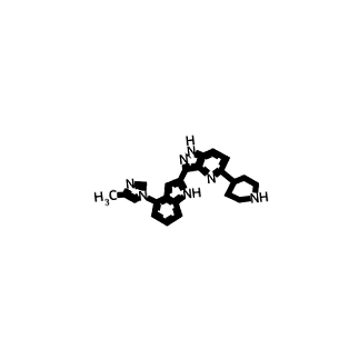 Cc1cn(-c2cccc3[nH]c(-c4n[nH]c5ccc(C6CCNCC6)nc45)cc23)cn1